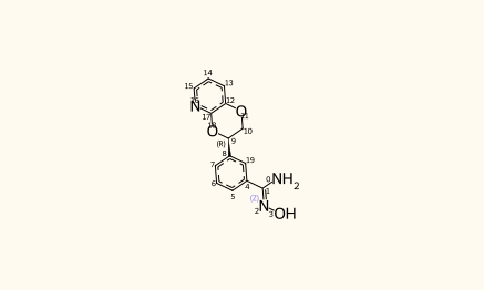 N/C(=N\O)c1cccc([C@@H]2COc3cccnc3O2)c1